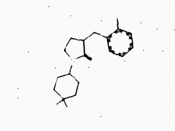 CC1(O)CCC(N2CCC(Cc3ccccc3Cl)C2=O)CC1